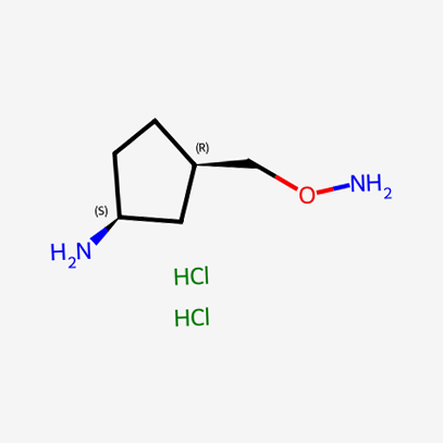 Cl.Cl.NOC[C@@H]1CC[C@H](N)C1